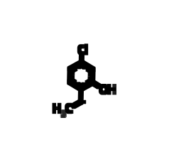 C[CH]c1ccc(Cl)cc1O